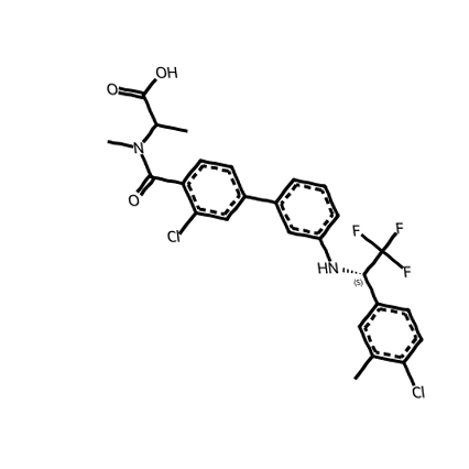 Cc1cc([C@H](Nc2cccc(-c3ccc(C(=O)N(C)C(C)C(=O)O)c(Cl)c3)c2)C(F)(F)F)ccc1Cl